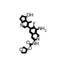 Cc1c(-c2cc3cc(NC(=O)O[C@@H]4CCOC4)ncc3c(N)c2F)cnc2c1[C@H](O)CC2